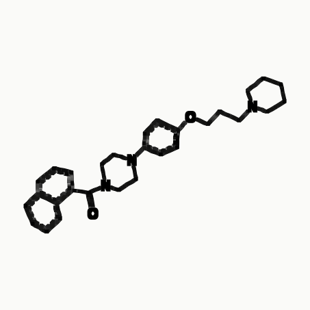 O=C(c1cccc2ccccc12)N1CCN(c2ccc(OCCCN3CCCCC3)cc2)CC1